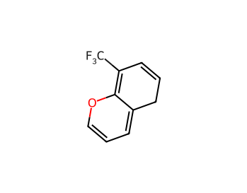 FC(F)(F)C1=C2OC=CC=C2CC=C1